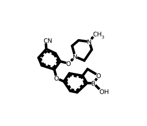 CN1CCN(Oc2cc(C#N)ccc2Oc2ccc3c(c2)COB3O)CC1